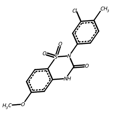 COc1ccc2c(c1)NC(=O)N(c1ccc(C)c(Cl)c1)S2(=O)=O